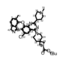 Cc1ccc2c(c1Oc1c(Br)c(Cl)cc3c(N4CCC5(CC4)CN(C(=O)OC(C)(C)C)C5)nc(C4CCN(C)CC4)nc13)C=NC2